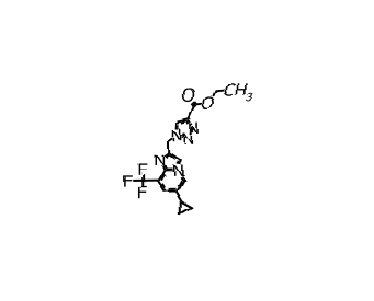 CCOC(=O)c1cn(Cc2cn3cc(C4CC4)cc(C(F)(F)F)c3n2)nn1